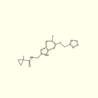 CC1(C(=O)NCc2cc3cc(F)c(OCc4ccon4)cc3[nH]2)CC1